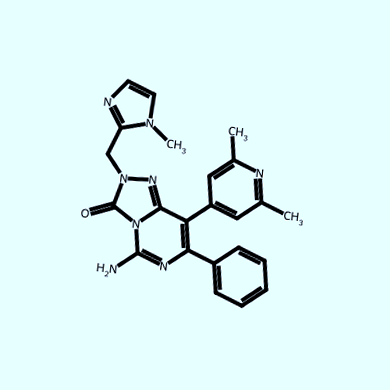 Cc1cc(-c2c(-c3ccccc3)nc(N)n3c(=O)n(Cc4nccn4C)nc23)cc(C)n1